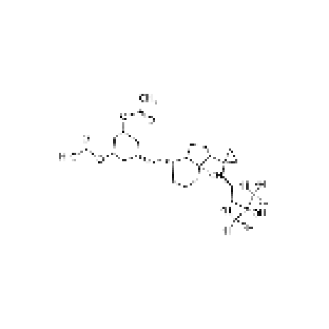 [2H]C([2H])([2H])C(O)(CCCC1(C2CCC3/C(=C/C=C4/CC(OC(C)=O)C[C@H](OC(C)=O)C4)CCC[C@@]32C)CC1)C([2H])([2H])[2H]